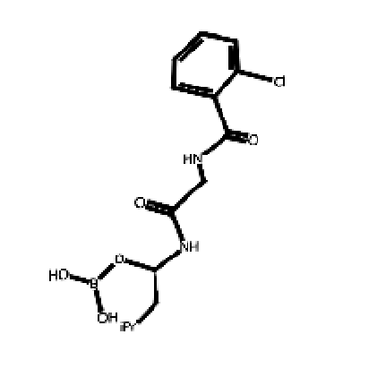 CC(C)C[C@H](NC(=O)CNC(=O)c1ccccc1Cl)OB(O)O